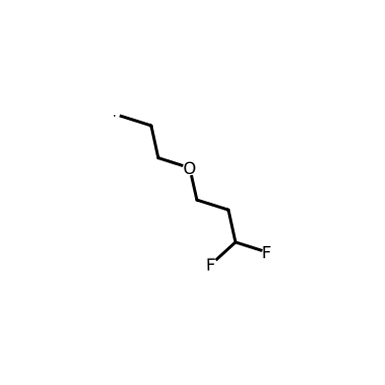 [CH2]CCOCCC(F)F